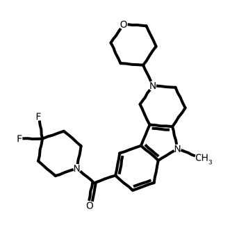 Cn1c2c(c3cc(C(=O)N4CCC(F)(F)CC4)ccc31)CN(C1CCOCC1)CC2